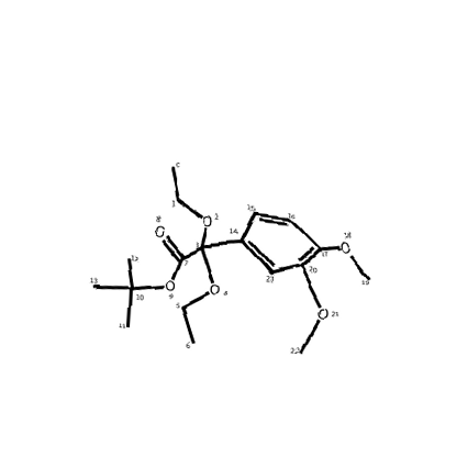 CCOC(OCC)(C(=O)OC(C)(C)C)c1ccc(OC)c(OC)c1